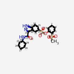 CS(=O)(=O)c1ccccc1OS(=O)(=O)c1ccc2[nH]nc(C(=O)Nc3ccccc3)c2c1